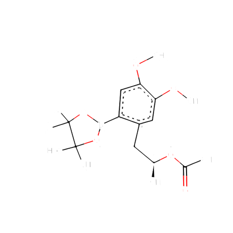 COc1cc(C[C@H](C)OC(C)=O)c(B2OC(C)(C)C(C)(C)O2)cc1OC